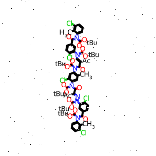 CC(=O)/C(=C\N(C(=O)OC(C)(C)C)c1cc(C(=O)N(C(=O)OC(C)(C)C)c2cccc(Cl)c2C)ccc1Cl)C(=O)N(C(=O)OC(C)(C)C)c1cc(Cl)c(N(C(=O)OC(C)(C)C)C(=O)/C(=N/N(C(=O)OC(C)(C)C)c2cc(C(=O)N(C(=O)OC(C)(C)C)c3cccc(Cl)c3C)ccc2Cl)C(C)=O)cc1C